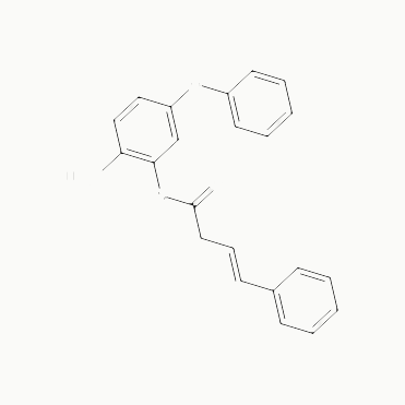 O=C(CC=Cc1ccccc1)Nc1cc(Oc2ccccc2)ccc1C(=O)O